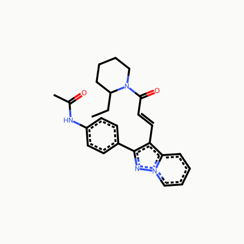 CCC1CCCCN1C(=O)/C=C/c1c(-c2ccc(NC(C)=O)cc2)nn2ccccc12